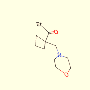 CCC(=O)C1(CN2CCOCC2)CCC1